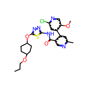 CCCOC1CCC(Oc2nnc(NC(=O)c3cnc(C)cc3-c3cc(Cl)ncc3OC)s2)CC1